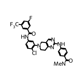 CNC(=O)c1ccc(Nc2ncc3c(n2)CCN(c2cc(NC(=O)c4cc(F)cc(C(F)(F)F)c4)ccc2Cl)C3)cc1